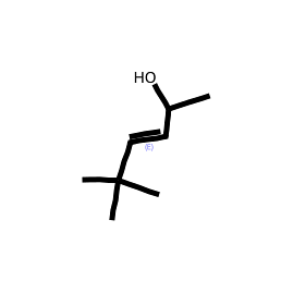 CC(O)/C=C/C(C)(C)C